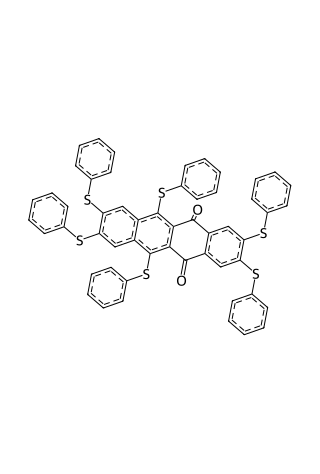 O=C1c2cc(Sc3ccccc3)c(Sc3ccccc3)cc2C(=O)c2c1c(Sc1ccccc1)c1cc(Sc3ccccc3)c(Sc3ccccc3)cc1c2Sc1ccccc1